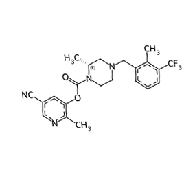 Cc1ncc(C#N)cc1OC(=O)N1CCN(Cc2cccc(C(F)(F)F)c2C)C[C@H]1C